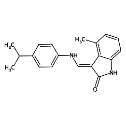 Cc1cccc2c1/C(=C\Nc1ccc(C(C)C)cc1)C(=O)N2